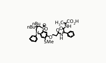 CCCCC1(CCCC)CN(c2ccccc2)c2cc(SC)c(OCCC(=O)N[C@@H](C(=O)N[C@@H](C)C(=O)O)c3ccccc3)cc2S(=O)(=O)C1